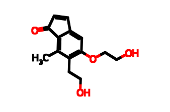 Cc1c(CCO)c(OCCO)cc2c1C(=O)C=C2